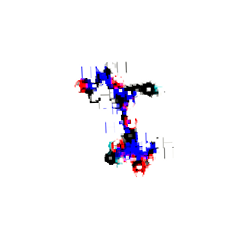 CN[C@@H](C)C(=O)NC(C(=O)N1Cc2ccc(NC(=O)CCNC(=O)[C@]3(C)CN(C(=O)CN4CC(C)NC[C@@H]4CN4CCOCC4C)c4cc(Cc5ccc(F)cc5)cnc43)cc2C1C(=O)Nc1c(F)cccc1F)C1CCOCC1